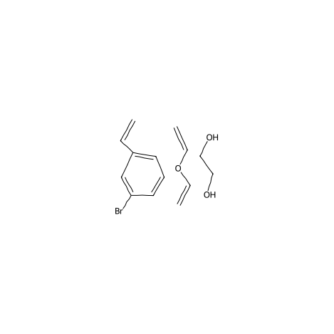 C=COC=C.C=Cc1cccc(Br)c1.OCCO